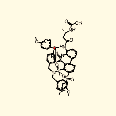 COc1ccc(CN(Cc2ccc(OC)cc2)S(=O)(=O)c2c(S(=O)(=O)CC[Si](C)(C)C)ccc(-c3cccc(NC(=O)C[C@H](C)NC(=O)O)c3N)c2-c2nnn(Cc3ccc(OC)cc3)n2)cc1